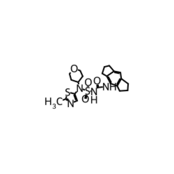 Cc1ncc(N(C2CCOCC2)S(=O)(=O)NC(=O)Nc2c3c(cc4c2CCC4)CCC3)s1